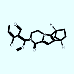 C=N/C(=C(C=O)\C(Cl)=C/C)N1CCn2c(cc3c2[C@@H]2CC[C@H]3C2)C1=O